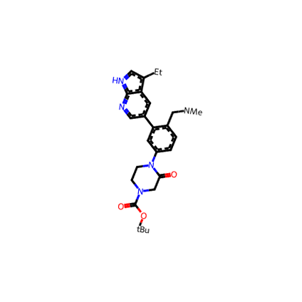 CCc1c[nH]c2ncc(-c3cc(N4CCN(C(=O)OC(C)(C)C)CC4=O)ccc3CNC)cc12